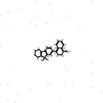 CC1(C)C2=C(CCCC2)c2ccc(C3=c4ccccc4=C(I)CC3)cc21